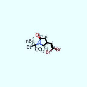 CCCC[C@@](CC)(C(=O)O)N1CC(C=C(Br)Br)CC1=O